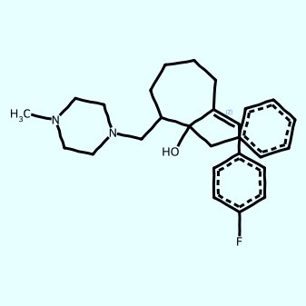 CN1CCN(CC2CCCC/C(=C/c3ccc(F)cc3)C2(O)Cc2ccccc2)CC1